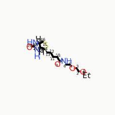 CCOCCOCCNC(=O)CCCC[C@@H]1SC[C@@H]2NC(=O)N[C@@H]21